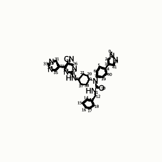 Cn1cc(-c2ccc(N(C(=O)NCc3ccccc3)[C@H]3CC[C@H](Nc4ncc(C#N)c(-c5cncnc5)n4)CC3)cc2)cn1